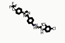 FC(F)(F)Oc1ccc(-n2cnc(-c3ccc(/C=N/NC(=S)Nc4ccc(Cl)cc4Cl)cc3)n2)cc1